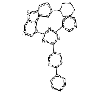 c1ccc(-c2ccc(-c3nc(-c4ccccc4)nc(-c4cncc5sc6ccc(C7CCCCC7)cc6c45)n3)cc2)cc1